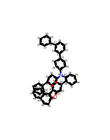 c1ccc(-c2ccc(N(c3ccc(-c4cccc(-c5ccccc5)c4)cc3)c3ccccc3-c3ccc4c(c3)oc3ccc5ccccc5c34)cc2)cc1